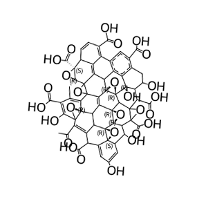 CC(=O)C1=C2C(C(=O)O)C3=CC(O)=CC4C(O)C5C6(C(=O)O)OC67C(C(=O)O)C6C(O)Cc8c(C(=O)O)cc9c%10c8[C@@]6(O)[C@@]68O[C@]6%11C6=C%12C(C2[C@]2(O[C@]342)[C@@]52O[C@]%122C78)[C@]23OC12C(O)=C(C(=O)O)C1=C3C62OC23C(=C2C9=C(C(=O)O)C=CC2[C@]2(C(=O)O)O[C@]32C1)C%10%11